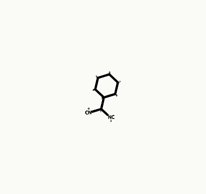 [C-]#[N+]C([N+]#[C-])C1CCCCC1